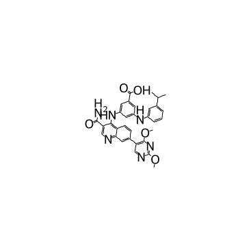 COc1ncc(-c2ccc3c(Nc4cc(Nc5cccc(C(C)C)c5)cc(C(=O)O)c4)c(C(N)=O)cnc3c2)c(OC)n1